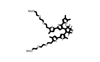 COCCOCCOCCc1sc(-c2cc(C3=C(c4cc(C5=CC(C)C(CCOCCOCCOC)S5)sc4-c4cc(C)c(C)s4)C(F)(F)C(F)(F)C3(F)F)c(C)s2)cc1C